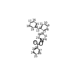 O=C(ON1CCC(c2ccccc2Cc2ccccc2)CC1)c1ccccc1